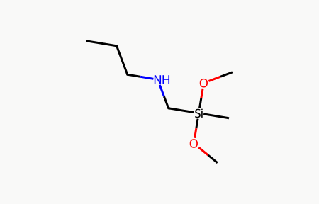 CCCNC[Si](C)(OC)OC